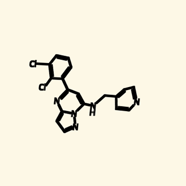 Clc1cccc(-c2cc(NCc3ccncc3)n3nccc3n2)c1Cl